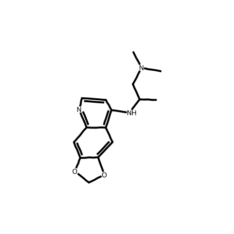 CC(CN(C)C)Nc1ccnc2cc3c(cc12)OCO3